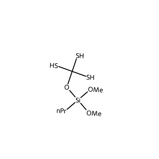 CCC[Si](OC)(OC)OC(S)(S)S